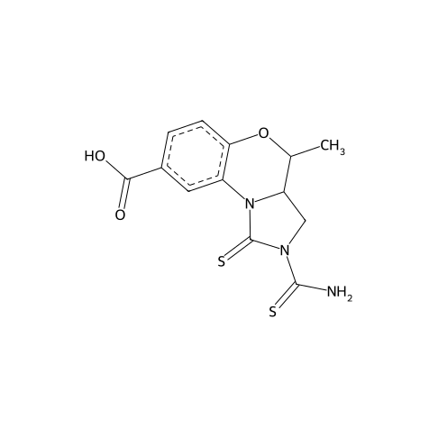 CC1Oc2ccc(C(=O)O)cc2N2C(=S)N(C(N)=S)CC12